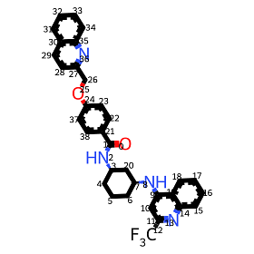 O=C(N[C@@H]1CCC[C@H](Nc2cc(C(F)(F)F)nc3ccccc23)C1)c1ccc(OCc2ccc3ccccc3n2)cc1